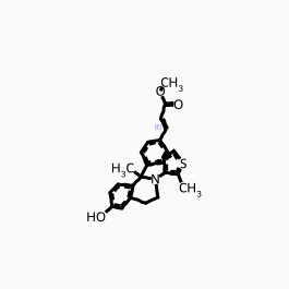 COC(=O)/C=C/c1ccc(C2(C)c3ccc(O)cc3CCN2c2ccsc2C)cc1